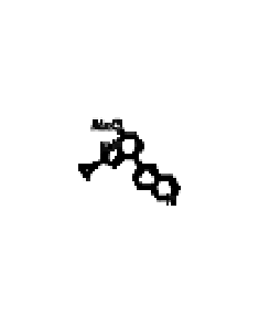 COc1ccc(-c2ccc3cnccc3c2)c2cc(C3CC3)nn12